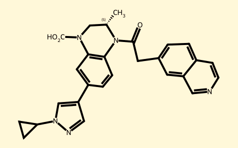 C[C@H]1CN(C(=O)O)c2cc(-c3cnn(C4CC4)c3)ccc2N1C(=O)Cc1ccc2ccncc2c1